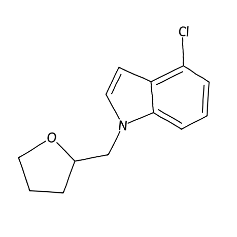 Clc1cccc2c1ccn2CC1CCCO1